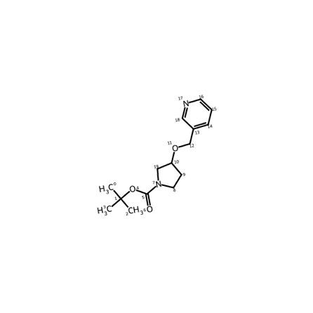 CC(C)(C)OC(=O)N1CCC(OCc2cccnc2)C1